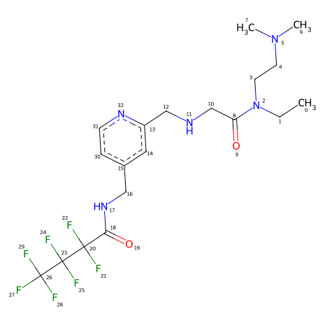 CCN(CCN(C)C)C(=O)CNCc1cc(CNC(=O)C(F)(F)C(F)(F)C(F)(F)F)ccn1